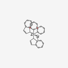 C[Si](C)=[Zr]([c]1ccccc1)([c]1ccccc1)([CH]1C=Cc2ccccc21)[CH]1C=Cc2ccccc21